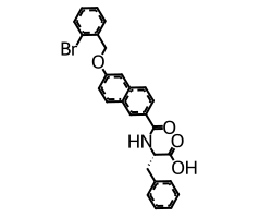 O=C(N[C@@H](Cc1ccccc1)C(=O)O)c1ccc2cc(OCc3ccccc3Br)ccc2c1